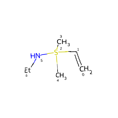 C=CS(C)(C)NCC